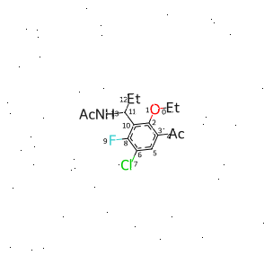 CCOc1c(C(C)=O)cc(Cl)c(F)c1C(CC)NC(C)=O